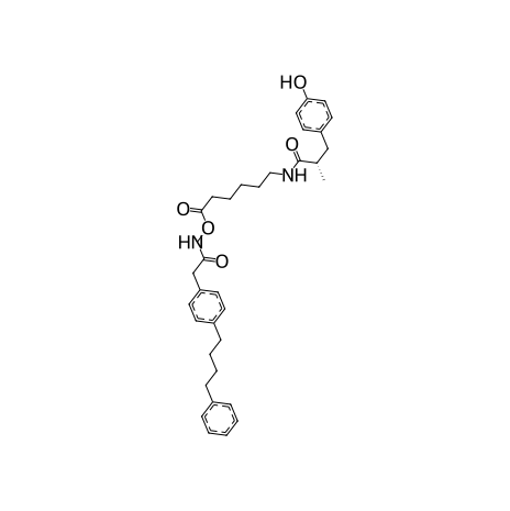 C[C@@H](Cc1ccc(O)cc1)C(=O)NCCCCCC(=O)ONC(=O)Cc1ccc(CCCCc2ccccc2)cc1